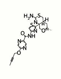 CC#CCOc1cnc(C(=O)Nc2csc(C34CO[C@@H](C)C[C@H]3CSC(N)=N4)n2)cn1